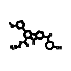 COc1cccc(-c2cc(C(=O)N=NN)c3[nH]c4cc(C(=O)N5CCCC(O)C5)ccc4c3c2)c1